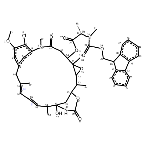 COc1cc2cc(c1Cl)N(C)C(=O)CC(OC(=O)[C@H](C)N(C)C(=O)OCC1c3ccccc3-c3ccccc31)C1(C)OC1C(C)C1CC(O)(NC(=O)O1)C(C)/C=C/C=C(\C)C2